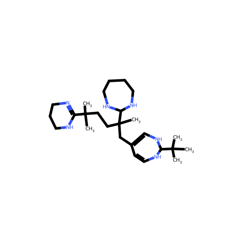 CC(C)(CCC(C)(CC1=CNC(C(C)(C)C)NC=C1)C1NCCCCN1)C1=NCCCN1